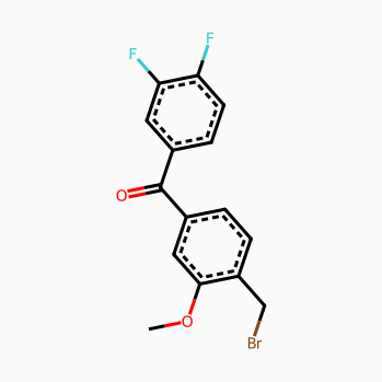 COc1cc(C(=O)c2ccc(F)c(F)c2)ccc1CBr